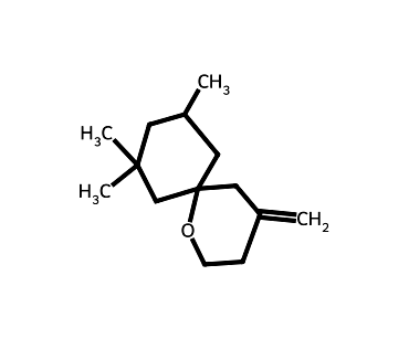 C=C1CCOC2(C1)CC(C)CC(C)(C)C2